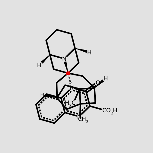 CC12C[C@@H]3C[C@@H](N4[C@@H]5CCC[C@H]4C[C@@H](n4c(=O)c(C(=O)O)nc6ccccc64)C5)C[C@H](C1)C2(C)C3